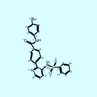 CC(C)(C)c1ccc(NC(=O)c2ccc(-c3ncccc3NS(=O)(=O)c3ccccc3)cc2)cc1